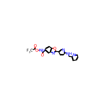 O=C(NOC(=O)C(F)(F)F)c1ccc2oc(-c3ccc(NCc4ccccn4)nc3)nc2c1